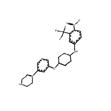 O=[N+]([O-])c1ccc(NC2CCC(Oc3cncc(N4CCNCC4)c3)CC2)cc1C(F)(F)F